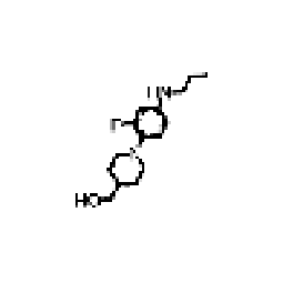 CCCNc1ccc(N2CCC(CO)CC2)c(F)c1